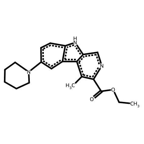 CCOC(=O)c1ncc2[nH]c3ccc(N4CCCCC4)cc3c2c1C